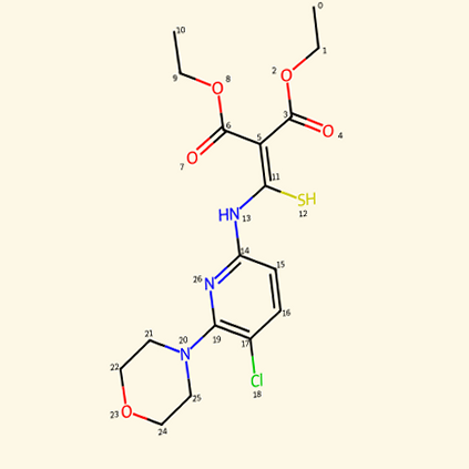 CCOC(=O)C(C(=O)OCC)=C(S)Nc1ccc(Cl)c(N2CCOCC2)n1